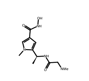 CNCC(=O)N[C@@H](C)c1cc(C(=O)NO)cn1C